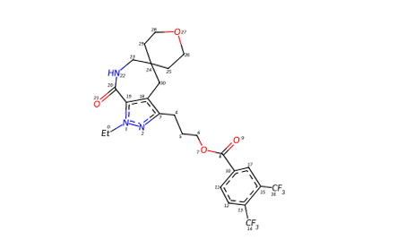 CCn1nc(CCCOC(=O)c2ccc(C(F)(F)F)c(C(F)(F)F)c2)c2c1C(=O)NCC1(CCOCC1)C2